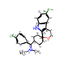 CN(C)C(c1ccc(Cl)cc1)C1CCC2(CC1)OCCc1c2[nH]c2ccc(F)cc12